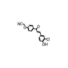 N#CCOc1ccc(C(=O)C=Cc2ccc(O)c(Cl)c2)cc1